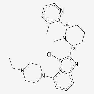 CCN1CCN(c2cccc3nc([C@H]4CCC[C@@H](c5ncccc5C)N4C)c(Cl)n23)CC1